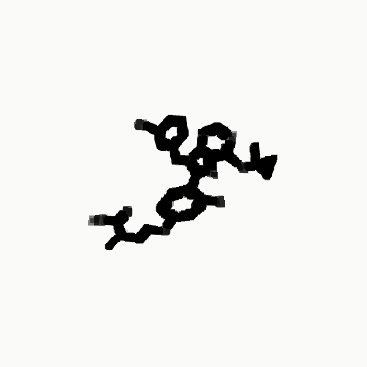 C[C@H](CCOc1ccc(-c2nc3c(OC4(C)CC4)ncnc3n2Cc2cccc(Cl)c2)c(Cl)c1)C(=O)O